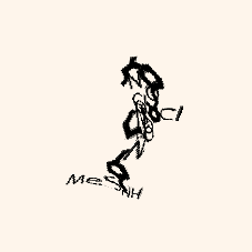 CSC(=N)c1ccc(CN(C)C(=O)[C@@H]2CCCN2S(=O)(=O)c2ccc(Cl)c(COc3cccc4c(C)cc(C)nc34)c2Cl)cc1